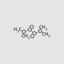 Cc1cc(C)cc(-c2cc(-c3cc(-c4cc(C)cc(C)c4)cc4ccccc34)c3ccccc3c2)c1